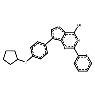 Oc1nc(-c2ccccn2)nc2c(-c3ccc(OC4CCCC4)cc3)csc12